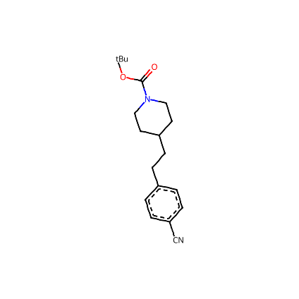 CC(C)(C)OC(=O)N1CCC(CCc2ccc(C#N)cc2)CC1